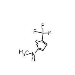 CNc1ccc(C(F)(F)F)s1